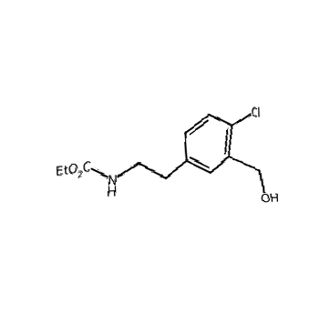 CCOC(=O)NCCc1ccc(Cl)c(CO)c1